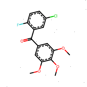 COc1cc(C(=O)c2cc(Cl)ccc2F)cc(OC)c1OC